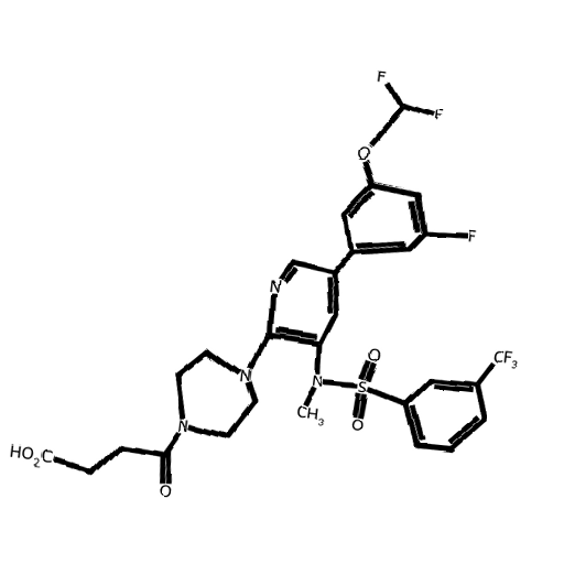 CN(c1cc(-c2cc(F)cc(OC(F)F)c2)cnc1N1CCN(C(=O)CCC(=O)O)CC1)S(=O)(=O)c1cccc(C(F)(F)F)c1